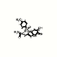 Cc1ccc(S(=O)(=O)n2c(COC(N)=O)cc3cc(Br)c(O)cc32)cc1